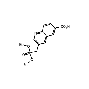 CCOP(=O)(Cc1cnc2ccc(C(=O)O)cc2c1)OCC